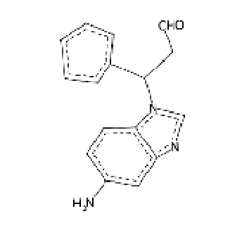 Nc1ccc2c(c1)ncn2C(CC=O)c1ccccc1